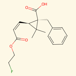 CC1(C)[C@@H](/C=C\C(=O)OCCF)[C@@]1(Cc1ccccc1)C(=O)O